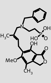 COc1c(C)c2c(c(O)c1C/C=C(\C)CN(CCP(=O)(O)O)Cc1ccccc1)C(=O)OC2